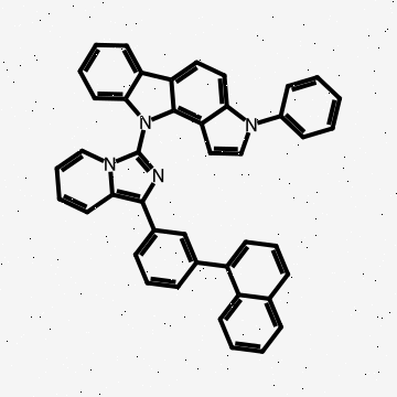 c1ccc(-n2ccc3c2ccc2c4ccccc4n(-c4nc(-c5cccc(-c6cccc7ccccc67)c5)c5ccccn45)c23)cc1